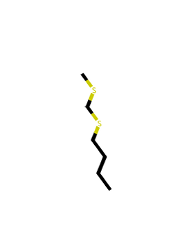 CCCCS[CH]SC